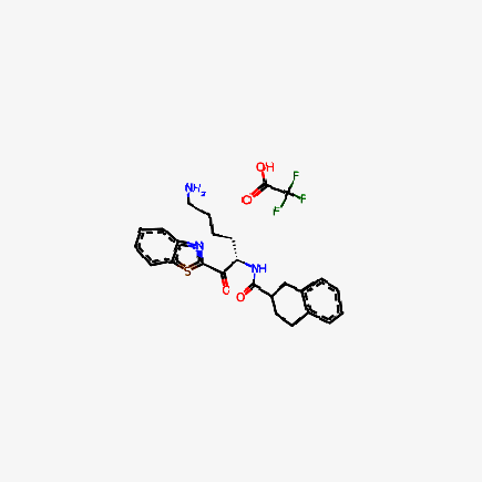 NCCCC[C@H](NC(=O)C1CCc2ccccc2C1)C(=O)c1nc2ccccc2s1.O=C(O)C(F)(F)F